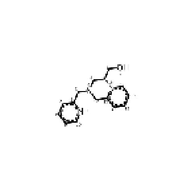 OCCCN(Cc1ccccn1)Cc1ccccn1